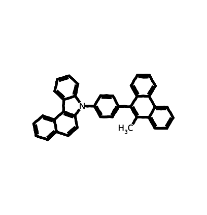 Cc1c(-c2ccc(-n3c4ccccc4c4c5ccccc5ccc43)cc2)c2ccccc2c2ccccc12